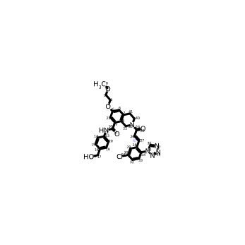 COCCOc1cc2c(c(C(=O)Nc3ccc(CO)cc3)c1)CN(C(=O)/C=C/c1cc(Cl)ccc1-n1cnnn1)CC2